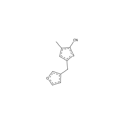 Cc1cc(Cc2ccoc2)sc1C#N